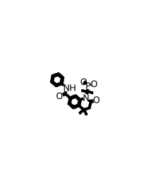 CC1(C)CC(=O)N(C(C)(C)P(=O)=O)c2cc(C(=O)Nc3ccccc3)ccc21